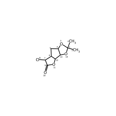 CC1(C)OC2CC3C(Cl)C(=O)OC3C2O1